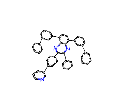 c1ccc(-c2cccc(-c3ccc(-c4cccc(-c5ccccc5)c4)c4nc(-c5ccc(-c6cccnc6)cc5)c(-c5ccccc5)nc34)c2)cc1